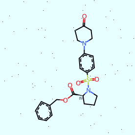 O=C1CCN(c2ccc(S(=O)(=O)N3CCC[C@H]3C(=O)OCc3ccccc3)cc2)CC1